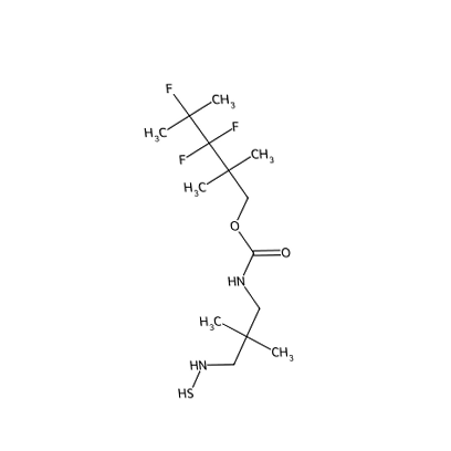 CC(C)(CNS)CNC(=O)OCC(C)(C)C(F)(F)C(C)(C)F